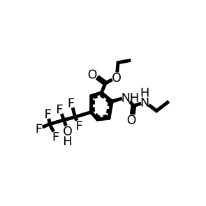 CCNC(=O)Nc1ccc(C(F)(F)C(O)(F)C(F)(F)F)cc1C(=O)OCC